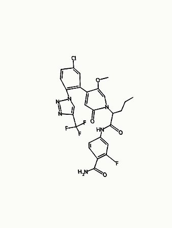 CCCC(C(=O)Nc1ccc(C(N)=O)c(F)c1)n1cc(OC)c(-c2cc(Cl)ccc2-n2cc(C(F)(F)F)nn2)cc1=O